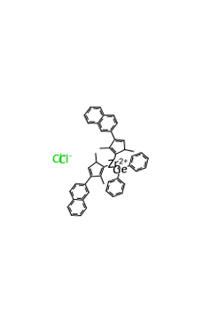 CC1=[C]([Zr+2]([C]2=C(C)C(c3ccc4ccccc4c3)=CC2C)=[Ge]([c]2ccccc2)[c]2ccccc2)C(C)C=C1c1ccc2ccccc2c1.[Cl-].[Cl-]